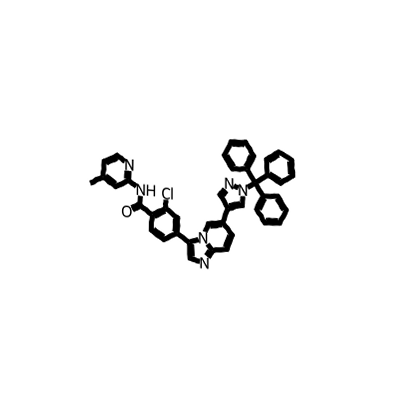 Cc1ccnc(NC(=O)c2ccc(-c3cnc4ccc(-c5cnn(C(c6ccccc6)(c6ccccc6)c6ccccc6)c5)cn34)cc2Cl)c1